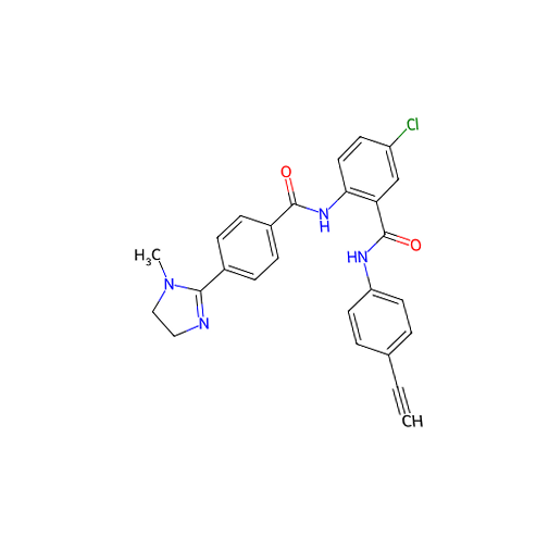 C#Cc1ccc(NC(=O)c2cc(Cl)ccc2NC(=O)c2ccc(C3=NCCN3C)cc2)cc1